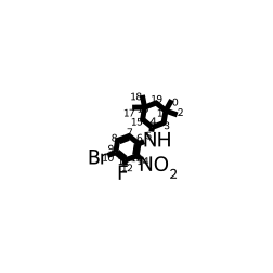 CC1(C)CC(Nc2ccc(Br)c(F)c2[N+](=O)[O-])CC(C)(C)C1